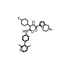 Cc1ccnc(C)c1-c1ccc(NC(=O)C(NC(=O)c2ccc3n2CCN(C)C3)C2CCC(F)CC2)cc1